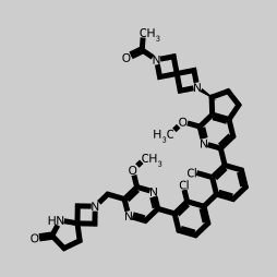 COc1nc(-c2cccc(-c3cccc(-c4cc5c(c(OC)n4)[C@@H](N4CC6(CN(C(C)=O)C6)C4)CC5)c3Cl)c2Cl)cnc1CN1CC2(CCC(=O)N2)C1